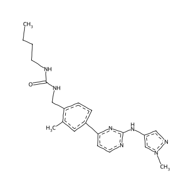 CCCCNC(=O)NCc1ccc(-c2ccnc(Nc3cnn(C)c3)n2)cc1C